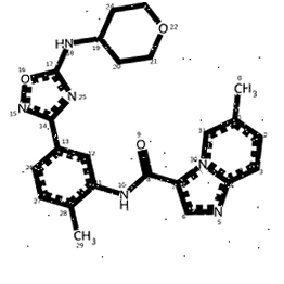 Cc1ccc2ncc(C(=O)Nc3cc(-c4noc(NC5CCOCC5)n4)ccc3C)n2c1